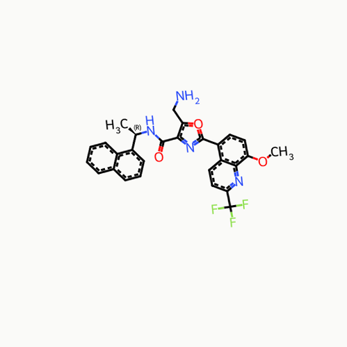 COc1ccc(-c2nc(C(=O)N[C@H](C)c3cccc4ccccc34)c(CN)o2)c2ccc(C(F)(F)F)nc12